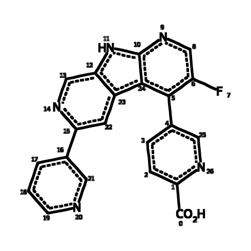 O=C(O)c1ccc(-c2c(F)cnc3[nH]c4cnc(-c5cccnc5)cc4c23)cn1